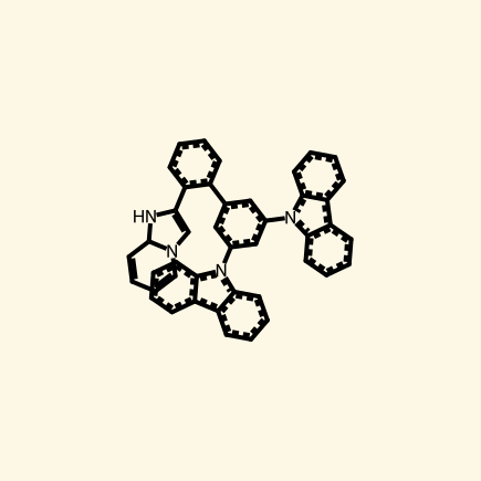 C1=CC2NC(c3ccccc3-c3cc(-n4c5ccccc5c5ccccc54)cc(-n4c5ccccc5c5ccccc54)c3)=CN2C=C1